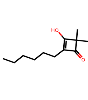 CCCCCCC1=C(O)C(C)(C)C1=O